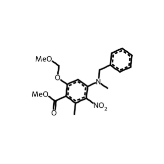 COCOc1cc(N(C)Cc2ccccc2)c([N+](=O)[O-])c(C)c1C(=O)OC